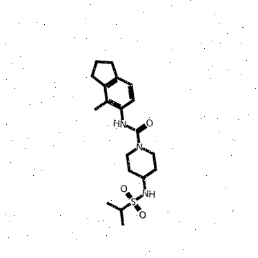 Cc1c(NC(=O)N2CCC(NS(=O)(=O)C(C)C)CC2)ccc2c1CCC2